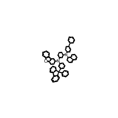 c1ccc(-c2ccc(N(c3cccc(N(c4cccc(C5(c6ccccc6)c6ccccc6-c6ccccc65)c4)c4ccc5oc6ccccc6c5c4)c3)c3cccc4ccccc34)cc2)cc1